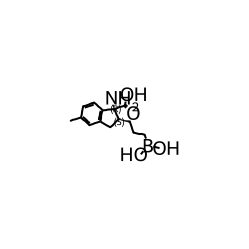 Cc1ccc2c(c1)C[C@H](CCCB(O)O)[C@]2(N)C(=O)O